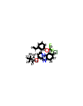 C=Cc1cccc(OC(F)F)c1[C@H]1C[C@H](O[Si](C)(C)C(C)(C)C)c2nc3ccc(Cl)cc3n21